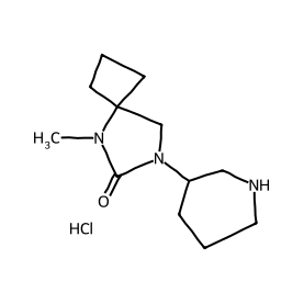 CN1C(=O)N(C2CCCNC2)CC12CCC2.Cl